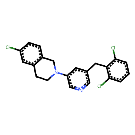 Clc1ccc2c(c1)CCN(c1cncc(Cc3c(Cl)cccc3Cl)c1)C2